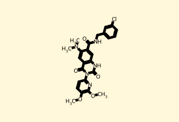 COc1ccc(-n2c(=O)[nH]c3cc(C(=O)NCc4cccc(Cl)c4)c(N(C)C)cc3c2=O)nc1OC